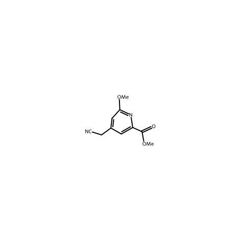 COC(=O)c1cc(CC#N)cc(OC)n1